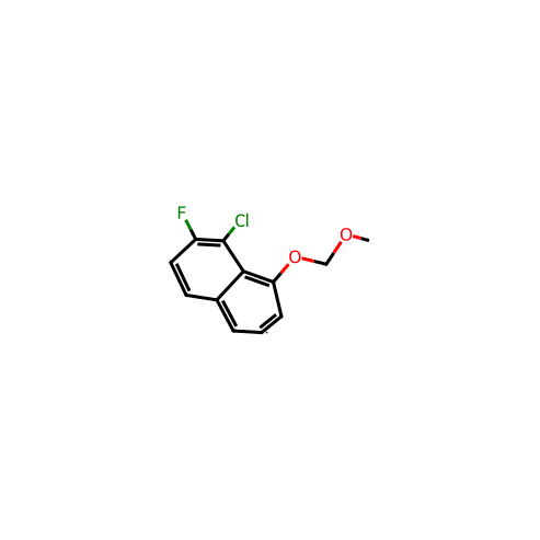 COCOc1c[c]cc2ccc(F)c(Cl)c12